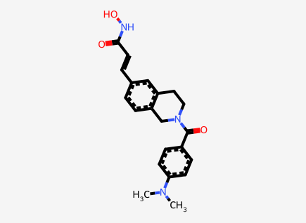 CN(C)c1ccc(C(=O)N2CCc3cc(C=CC(=O)NO)ccc3C2)cc1